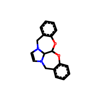 C1=CN2Cc3ccccc3OC3Oc4ccccc4CN1C32